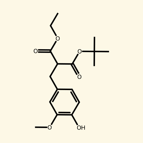 CCOC(=O)C(Cc1ccc(O)c(OC)c1)C(=O)OC(C)(C)C